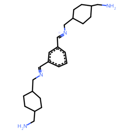 NCC1CCC(C/N=C/c2cccc(/C=N/CC3CCC(CN)CC3)c2)CC1